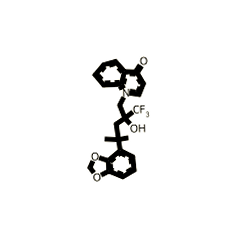 CC(C)(CC(O)(Cn1ccc(=O)c2ccccc21)C(F)(F)F)c1cccc2c1OCO2